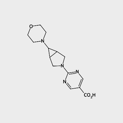 O=C(O)c1cnc(N2CC3C(C2)C3N2CCOCC2)nc1